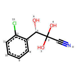 N#CC(O)(O)[C@@H](O)c1ccccc1Cl